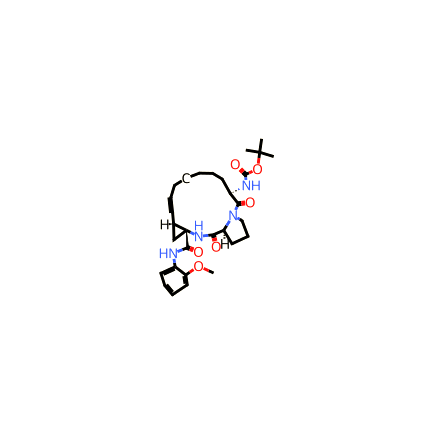 COc1ccccc1NC(=O)[C@@]12C[C@H]1/C=C\CCCCC[C@H](NC(=O)OC(C)(C)C)C(=O)N1CCC[C@H]1C(=O)N2